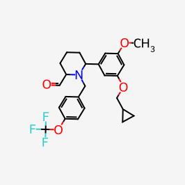 COc1cc(OCC2CC2)cc(C2CCCC(C=O)N2Cc2ccc(OC(F)(F)F)cc2)c1